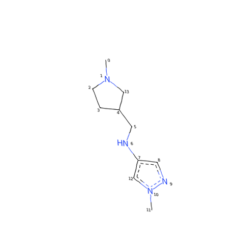 CN1CCC(CNc2cnn(C)c2)C1